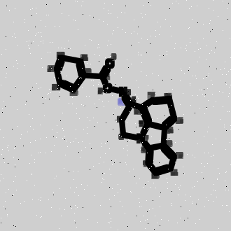 O=C(O/N=C1\CCn2c3ccccc3c3cccc1c32)c1ccccc1